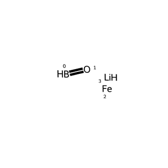 B=O.[Fe].[LiH]